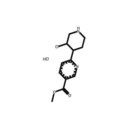 COC(=O)c1ccc(C2CCNCC2Cl)nc1.Cl